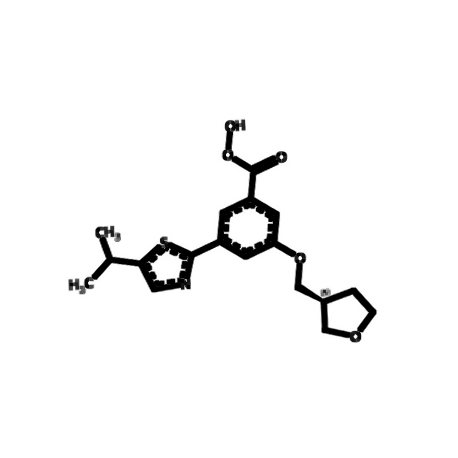 CC(C)c1cnc(-c2cc(OC[C@H]3CCOC3)cc(C(=O)OO)c2)s1